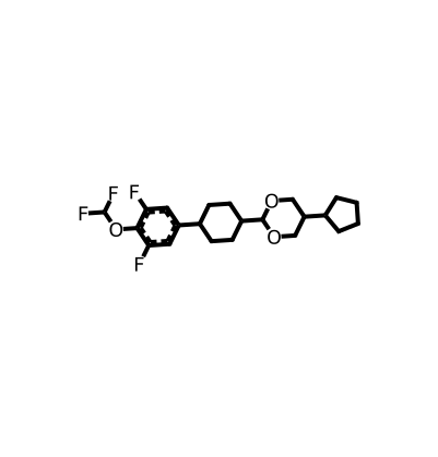 Fc1cc(C2CCC(C3OCC(C4CCCC4)CO3)CC2)cc(F)c1OC(F)F